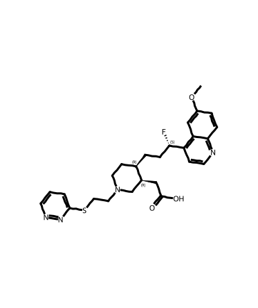 COc1ccc2nccc([C@@H](F)CC[C@@H]3CCN(CCSc4cccnn4)C[C@@H]3CC(=O)O)c2c1